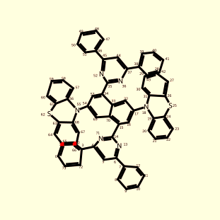 c1ccc(-c2cc(-c3ccccc3)nc(-c3cc(N4c5ccccc5Sc5ccccc54)cc4c(-c5nc(-c6ccccc6)cc(-c6ccccc6)n5)cc(N5c6ccccc6Sc6ccccc65)cc34)n2)cc1